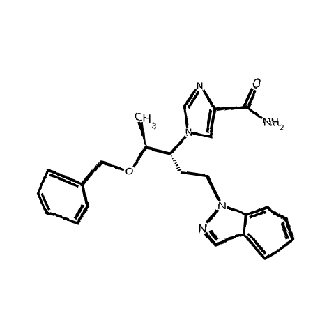 C[C@H](OCc1ccccc1)[C@@H](CCn1ncc2ccccc21)n1cnc(C(N)=O)c1